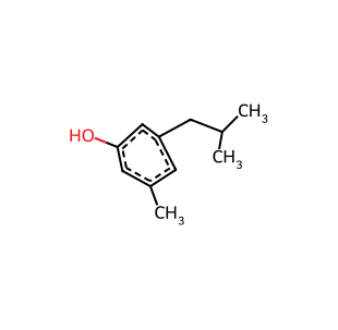 Cc1cc(O)cc(CC(C)C)c1